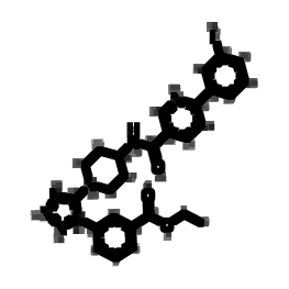 CCOC(=O)c1cccc(-n2nnnc2N2CCC(NC(=O)c3ccc(-c4cccc(F)c4)nc3)CC2)c1